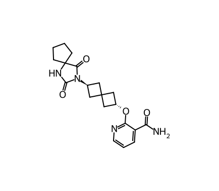 NC(=O)c1cccnc1O[C@H]1CC2(C1)C[C@H](N1C(=O)NC3(CCCC3)C1=O)C2